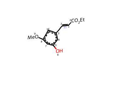 CCOC(=O)/C=C/c1cc(O)cc(OC)c1